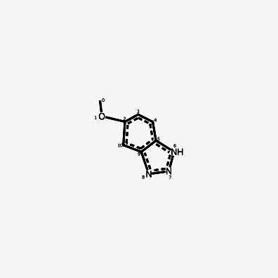 COc1ccc2[nH]nnc2c1